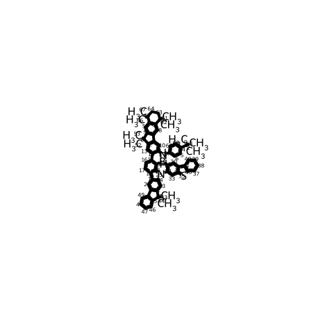 CC(C)(C)c1ccc(Nc2cc3c(cc2-c2ccc4c5cc6c(cc5n5c4c2Bc2cc4c(cc2-5)sc2ccccc24)C(C)(C)c2ccccc2-6)C(C)(C)c2cc4c(cc2-3)C(C)(C)CCC4(C)C)cc1